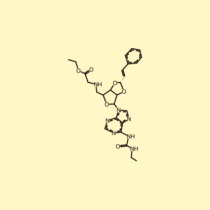 CCNC(=O)Nc1ncnc2c1ncn2C1OC(CNCC(=O)OCC)C2O[C@H](/C=C/c3ccccc3)OC21